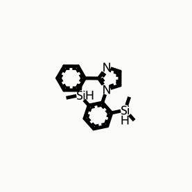 C[SiH](C)c1cccc([SiH](C)C)c1-n1ccnc1-c1ccccc1